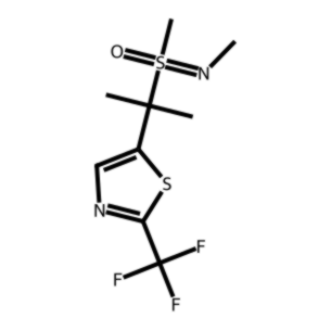 CN=S(C)(=O)C(C)(C)c1cnc(C(F)(F)F)s1